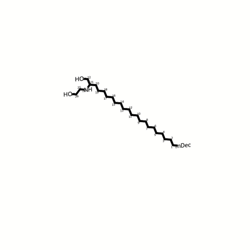 CCCCCCCCCCCCCCCCCCCCCCCCCCCCCCC(CO)NCCO